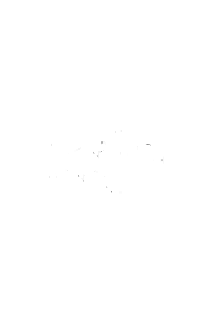 Cc1cn([C@H]2C=C[C@@H](CO)O2)c(=O)[nH]c1=O.[NaH]